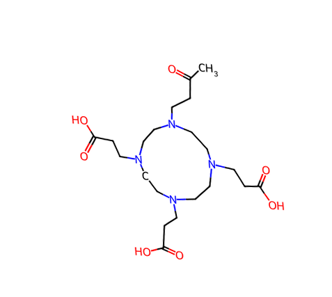 CC(=O)CCN1CCN(CCC(=O)O)CCN(CCC(=O)O)CCN(CCC(=O)O)CC1